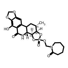 C[C@H]1CC2c3cc4c(c(O)c3C(=O)N[C@H]2[C@@H]2OP(=O)(OCN3CCCCCC3=O)O[C@@H]21)OCO4